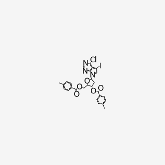 Cc1ccc(C(=O)OCC2OC(n3cc(I)c4c(Cl)ncnc43)CC2OC(=O)c2ccc(C)cc2)cc1